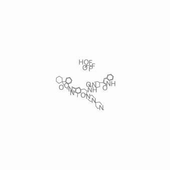 Cc1cc(CC(NC(=O)N2CCC(c3cc4ccccc4[nH]c3=O)CC2)C(=O)N2CCN(C3CCN(C)CC3)CC2)cc2cn(COC(=O)C3(c4ccccc4)CCCCC3)nc12.O=C(O)C(F)(F)F